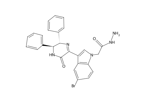 NNC(=O)Cn1cc(C2=N[C@@H](c3ccccc3)[C@H](c3ccccc3)NC2=O)c2cc(Br)ccc21